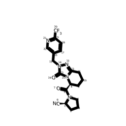 N#C[C@@H]1CCCN1C(=O)[C@@H]1CCCc2nn(Cc3ccc(C(F)(F)F)nc3)c(=O)n21